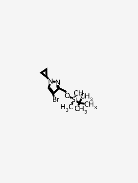 CC(C)(C)[Si](C)(C)OCc1nn(C2CC2)cc1Br